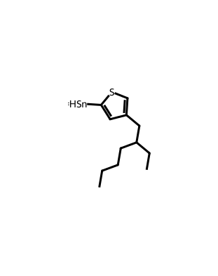 CCCCC(CC)Cc1cs[c]([SnH])c1